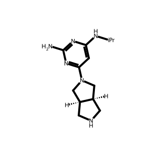 CC(C)Nc1cc(N2C[C@H]3CNC[C@H]3C2)nc(N)n1